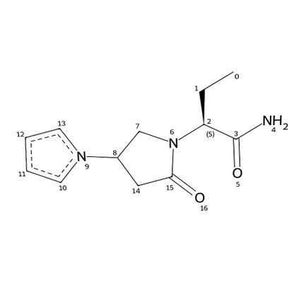 CC[C@@H](C(N)=O)N1CC(n2cccc2)CC1=O